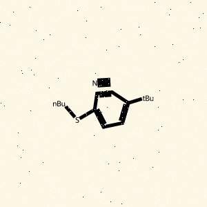 C#N.CCCCSc1ccc(C(C)(C)C)cc1